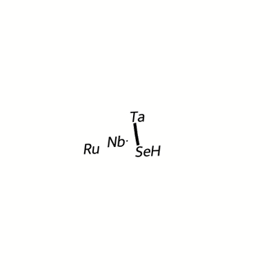 [Nb].[Ru].[SeH][Ta]